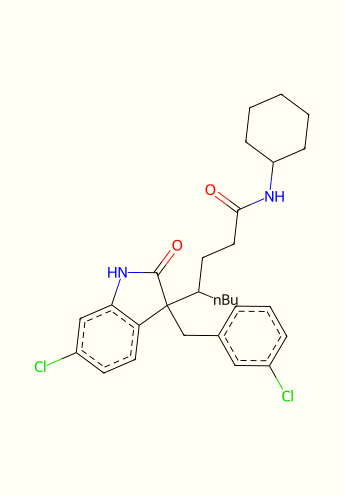 CCCCC(CCC(=O)NC1CCCCC1)C1(Cc2cccc(Cl)c2)C(=O)Nc2cc(Cl)ccc21